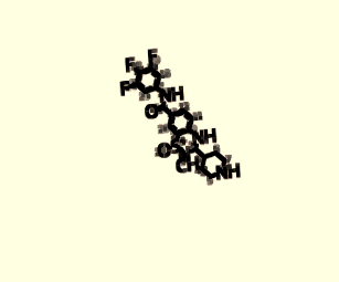 CN1C(C2CCNCC2)Nc2ccc(C(=O)Nc3cc(F)c(F)c(F)c3)cc2[S+]1[O-]